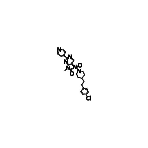 Cn1c(=O)n(C(=O)N2CCC(CCc3ccc(Cl)cc3)CC2)c2cnc(-c3ccncc3)nc21